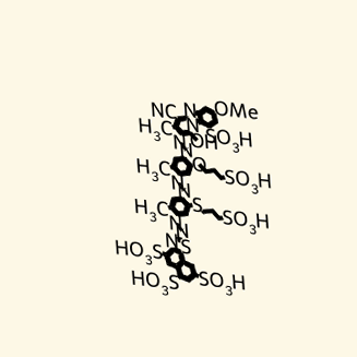 COc1cc(S(=O)(=O)O)c2c(c1)nc1c(C#N)c(C)c(N=Nc3cc(C)c(N=Nc4cc(C)c(N=Nc5nc6c(S(=O)(=O)O)cc7c(S(=O)(=O)O)cc(S(=O)(=O)O)cc7c6s5)cc4SCCCS(=O)(=O)O)cc3OCCCS(=O)(=O)O)c(O)n12